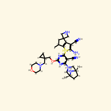 CC1CC2(CNC2)C2=C1[SH](c1nc(OCC3(CN4CCOCC4)CC3)nc(N3C[C@H]4CC[C@@H](C3)N4)c1C#N)C(N)=C2C#N